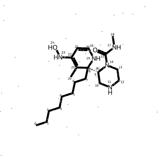 CCCCCCCCC1([C@H]2CNCCN2C(=O)NC)NC=CC(NO)=C1C